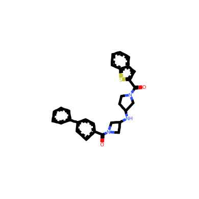 O=C(c1ccc(-c2ccccc2)cc1)N1CC(NC2CCN(C(=O)c3cc4ccccc4s3)C2)C1